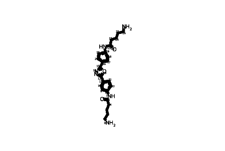 NCCCCC(=O)Nc1ccc(-c2nnc(-c3ccc(NC(=O)CCCCN)cc3)o2)cc1